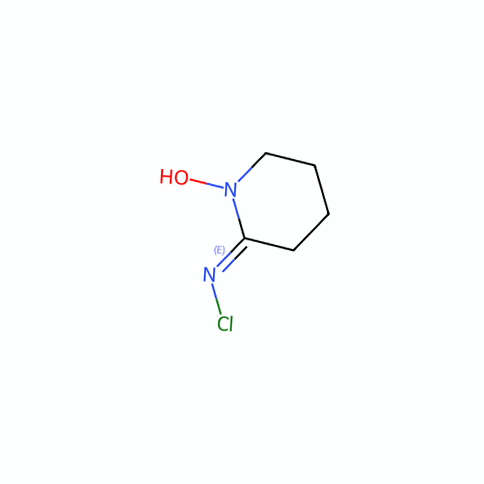 ON1CCCC/C1=N\Cl